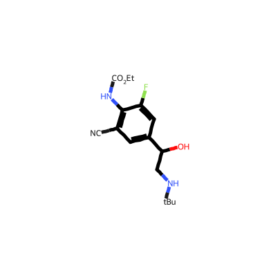 CCOC(=O)Nc1c(F)cc(C(O)CNC(C)(C)C)cc1C#N